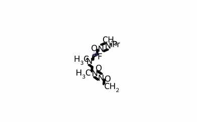 C=CC(=O)N1CCN(C(C)CCN(C)C/C=C(\F)C(=O)N2CCN(C(C)C)C(C)C2)C(=O)C1